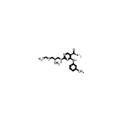 CCOC[C@H](N)CNc1ncc(C(N)=O)c(Nc2cccc(C)c2)n1